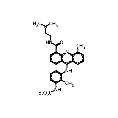 CCOC(=O)Nc1cccc(Nc2c3cccc(C)c3nc3c(C(=O)NCCN(C)C)cccc23)c1C